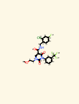 COCCn1cc(C(=O)NCc2ccc(F)cc2Cl)c(=O)n(-c2cccc(C(F)(F)F)c2)c1=O